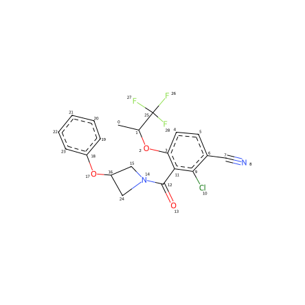 CC(Oc1ccc(C#N)c(Cl)c1C(=O)N1CC(Oc2ccccc2)C1)C(F)(F)F